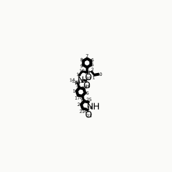 C=CC[C@]1(c2ccccc2)CCN([C@@H](C)c2ccc(-c3ccc(=O)[nH]c3)cc2)C(=O)O1